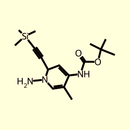 CC1=CN(N)C(C#C[Si](C)(C)C)C=C1NC(=O)OC(C)(C)C